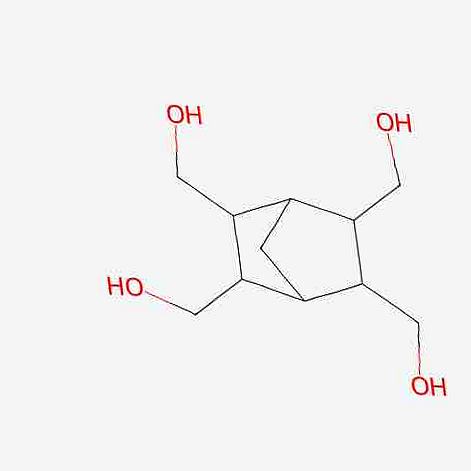 OCC1C(CO)C2CC1C(CO)C2CO